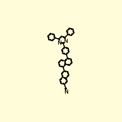 N#Cc1ccc2cc(-c3cccc4c(-c5ccc(-c6nc(-c7ccccc7)cc(-c7ccccc7)n6)cc5)cccc34)ccc2c1